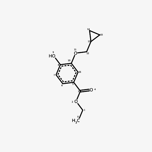 CCOC(=O)c1ccc(O)c(OCC2CC2)c1